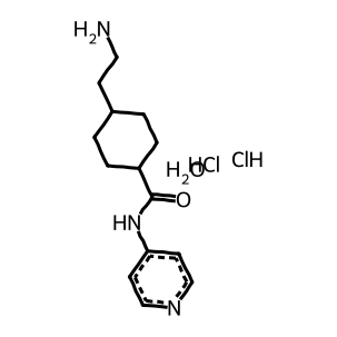 Cl.Cl.NCCC1CCC(C(=O)Nc2ccncc2)CC1.O